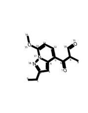 CCc1cc2c(C(=O)C(C)C=O)ccc(OC)n2n1